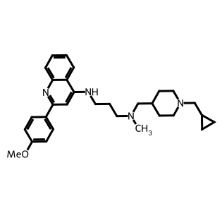 COc1ccc(-c2cc(NCCCN(C)CC3CCN(CC4CC4)CC3)c3ccccc3n2)cc1